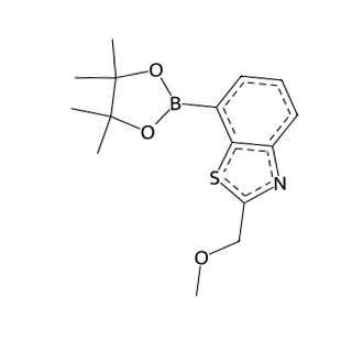 COCc1nc2cccc(B3OC(C)(C)C(C)(C)O3)c2s1